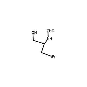 CC(C)CC(CO)NC=O